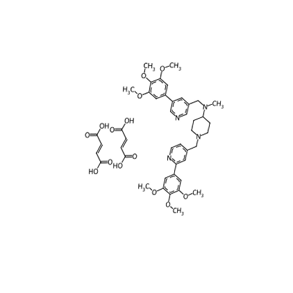 COc1cc(-c2cncc(CN(C)C3CCN(Cc4ccnc(-c5cc(OC)c(OC)c(OC)c5)c4)CC3)c2)cc(OC)c1OC.O=C(O)/C=C/C(=O)O.O=C(O)/C=C/C(=O)O